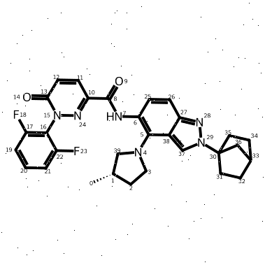 C[C@H]1CCN(c2c(NC(=O)c3ccc(=O)n(-c4c(F)cccc4F)n3)ccc3nn(C45CCC(CC4)C5)cc23)C1